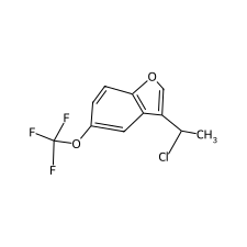 CC(Cl)c1coc2ccc(OC(F)(F)F)cc12